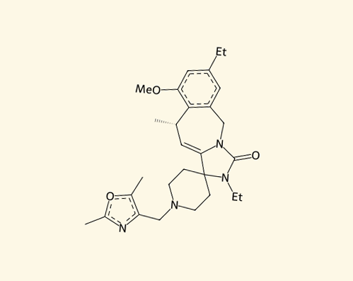 CCc1cc2c(c(OC)c1)[C@@H](C)C=C1N(C2)C(=O)N(CC)C12CCN(Cc1nc(C)oc1C)CC2